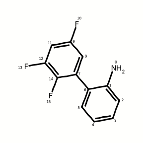 Nc1ccccc1-c1cc(F)cc(F)c1F